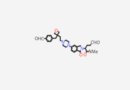 CNC(=O)C(CCC=O)N1Cc2cc(N3CCN(CCC4(Cc5ccc(C=O)cc5)COC4)CC3)ccc2C1=O